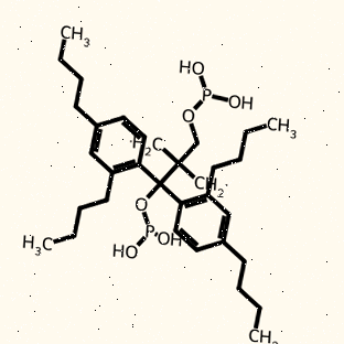 [CH2]C([CH2])(COP(O)O)C(OP(O)O)(c1ccc(CCCC)cc1CCCC)c1ccc(CCCC)cc1CCCC